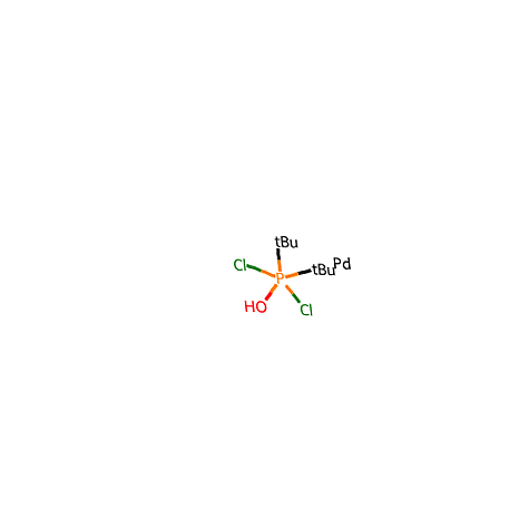 CC(C)(C)P(O)(Cl)(Cl)C(C)(C)C.[Pd]